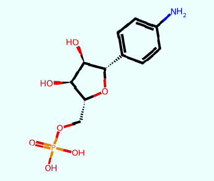 Nc1ccc([C@@H]2O[C@H](COP(=O)(O)O)[C@@H](O)[C@H]2O)cc1